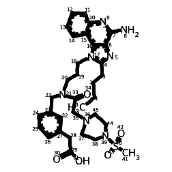 CCCCc1nc2c(N)nc3ccccc3c2n1CCCN(Cc1cccc(CC(=O)O)c1)C(=O)CN1CCN(S(C)(=O)=O)CC1